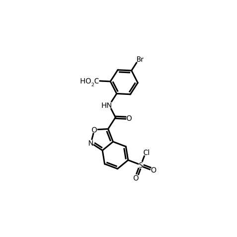 O=C(O)c1cc(Br)ccc1NC(=O)c1onc2ccc(S(=O)(=O)Cl)cc12